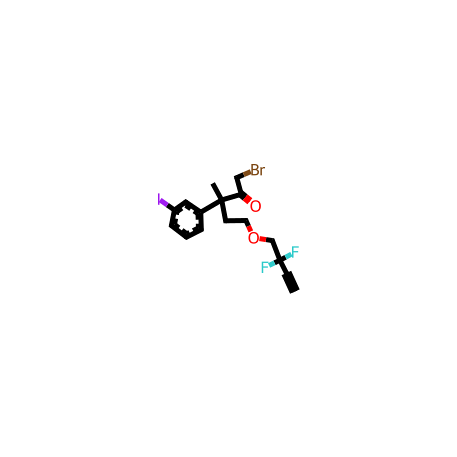 C#CC(F)(F)COCCC(C)(C(=O)CBr)c1cccc(I)c1